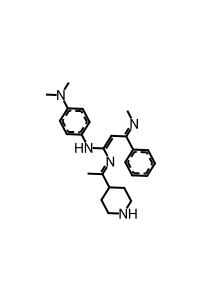 C\N=C(/C=C(\N=C(/C)C1CCNCC1)Nc1ccc(N(C)C)cc1)c1ccccc1